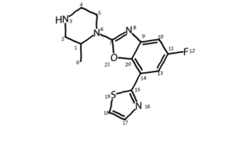 CC1CNCCN1c1nc2cc(F)cc(-c3nccs3)c2o1